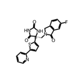 O=C1NC(=O)[C@](CN2Cc3ccc(F)cc3C2=O)(c2ccc(-c3ccccn3)s2)N1